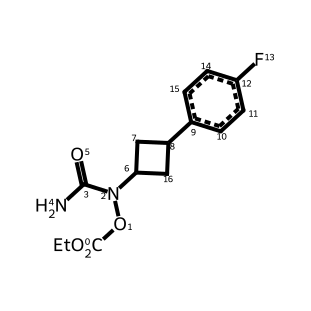 CCOC(=O)ON(C(N)=O)C1CC(c2ccc(F)cc2)C1